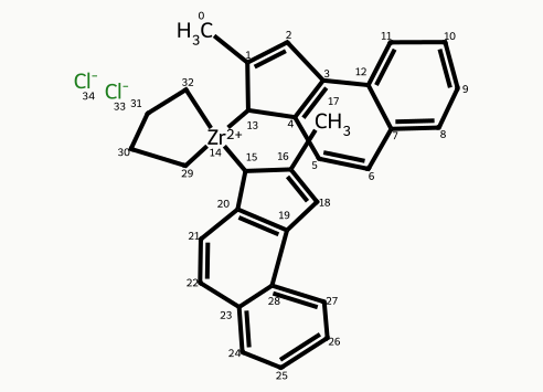 CC1=Cc2c(ccc3ccccc23)[CH]1[Zr+2]1([CH]2C(C)=Cc3c2ccc2ccccc32)[CH2]CC[CH2]1.[Cl-].[Cl-]